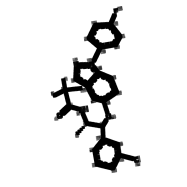 C[C@H](NC(=O)C(C)(C)C)C(Oc1ccc2c(cnn2-c2ccc(F)cc2)c1)c1cccc(Cl)c1